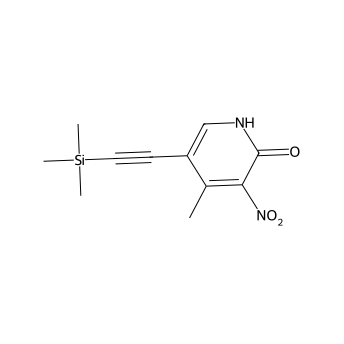 Cc1c(C#C[Si](C)(C)C)c[nH]c(=O)c1[N+](=O)[O-]